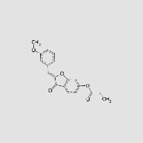 CCC(=O)Oc1ccc2c(c1)OC(=Cc1cccc(OC)c1)C2=O